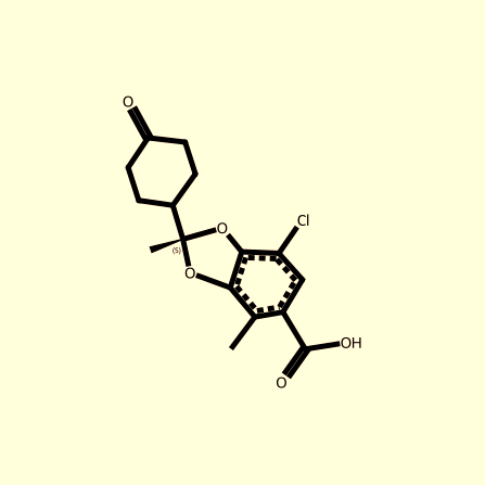 Cc1c(C(=O)O)cc(Cl)c2c1O[C@](C)(C1CCC(=O)CC1)O2